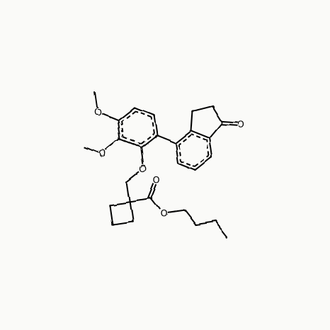 CCCCOC(=O)C1(COc2c(-c3cccc4c3CCC4=O)ccc(OC)c2OC)CCC1